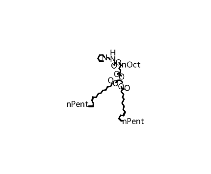 CCCCC/C=C\C/C=C\CCCCCCCC(=O)OCC(COC(=O)CCCCCCC/C=C\C/C=C\CCCCC)OC(=O)CCC(CCCCCCCC)OC(=O)NCCN1CCCCC1